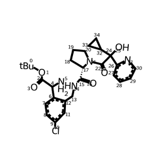 CC(C)(C)OC(=O)C(N)c1ccc(Cl)cc1CNC(=O)[C@@H]1CCCN1C(=O)C(O)(c1ccccn1)C1CC1